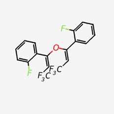 Fc1ccccc1C(=CC(F)(F)F)OC(=CC(F)(F)F)c1ccccc1F